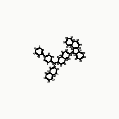 c1ccc(-c2ccc(N(c3ccc4ccccc4c3)c3ccc4cc(-n5c6ccccc6c6ccc7ccccc7c65)ccc4c3)cc2)cc1